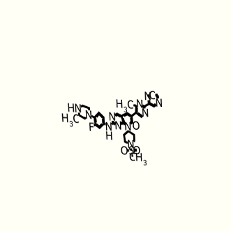 Cc1nc(-c2cnccn2)ncc1-c1cc2cnc(Nc3ccc(N4CCNC(C)C4)c(F)c3)nc2n(C2CCN(S(C)(=O)=O)CC2)c1=O